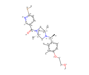 COCCOc1ccc([C@H](C)N2C[C@@H]3C[C@H]2CN3C(=O)c2ccc(SC)nc2)c(C)c1C